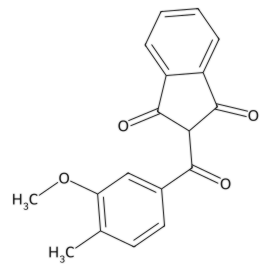 COc1cc(C(=O)C2C(=O)c3ccccc3C2=O)ccc1C